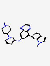 CN1CCC(N2C=CC=C(Nc3cc(-c4ccc5ccn(C)c5c4)c4nccnc4c3)C2)CC1